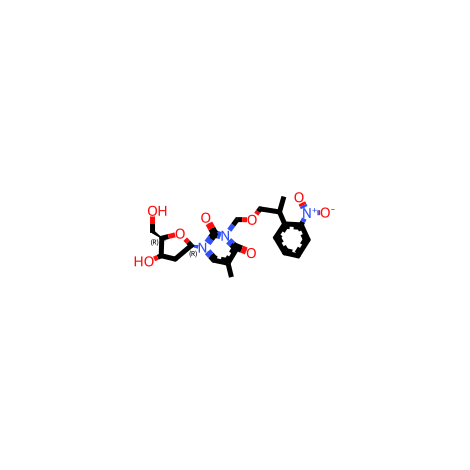 Cc1cn([C@H]2CC(O)[C@@H](CO)O2)c(=O)n(COCC(C)c2ccccc2[N+](=O)[O-])c1=O